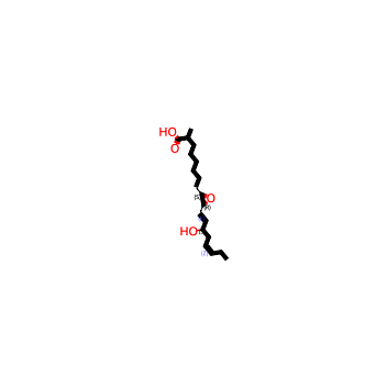 CC/C=C\C[C@H](O)/C=C/[C@H]1O[C@H]1CCCCCCC(C)C(=O)O